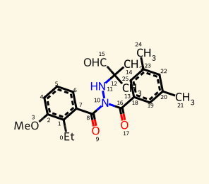 CCc1c(OC)cccc1C(=O)N(NC(C)(C)C=O)C(=O)c1cc(C)cc(C)c1